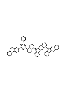 c1ccc(-c2nc(-c3ccc4c(ccc5ccccc54)c3)nc(-c3cccc4c(-n5c6ccccc6c6cc7c(-n8c9ccccc9c9cc%10ccccc%10cc98)cccc7cc65)cccc34)n2)cc1